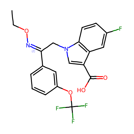 CCO/N=C(\Cn1cc(C(=O)O)c2cc(F)ccc21)c1cccc(OC(F)(F)F)c1